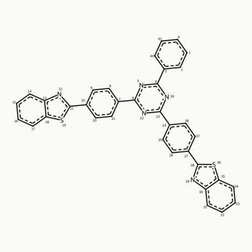 c1ccc(-c2nc(-c3ccc(-c4nc5ccccc5s4)cc3)nc(-c3ccc(-c4nc5ccccc5s4)cc3)n2)cc1